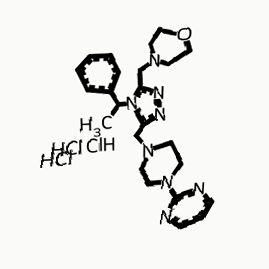 CC(c1ccccc1)n1c(CN2CCOCC2)nnc1CN1CCN(c2ncccn2)CC1.Cl.Cl.Cl